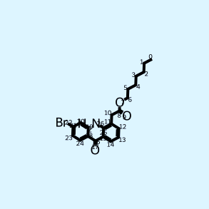 CCCCCCCOC(=O)Cc1cccc(C(=O)c2ccc(Br)cc2)c1N